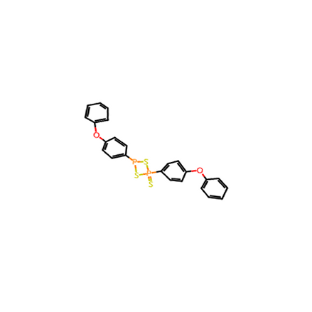 S=P1(c2ccc(Oc3ccccc3)cc2)SP(c2ccc(Oc3ccccc3)cc2)S1